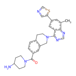 Cc1cc(-c2cncs2)cc2c(N3CCc4ccc(C(=O)N5CCC(N)CC5)cc4C3)ncnc12